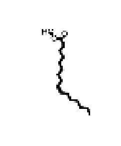 CCCCCC/C=C\CCCCCCCC(=O)OO